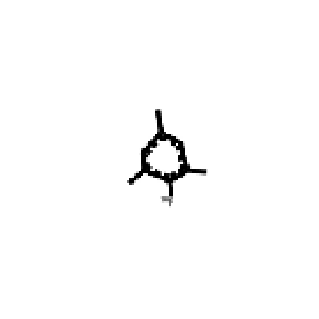 Cc1cc(C)c([18F])c(C)c1